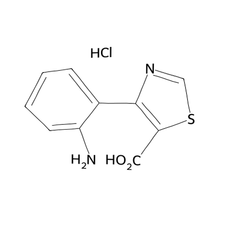 Cl.Nc1ccccc1-c1ncsc1C(=O)O